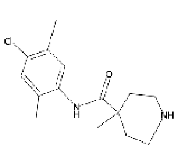 Cc1cc(NC(=O)C2(C)CCNCC2)c(C)cc1Cl